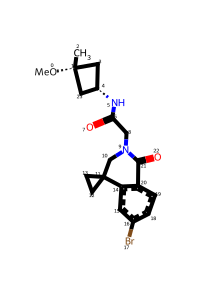 CO[C@]1(C)C[C@H](NC(=O)CN2CC3(CC3)c3cc(Br)ccc3C2=O)C1